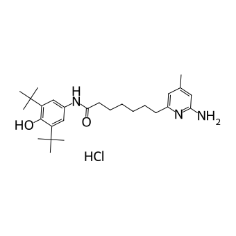 Cc1cc(N)nc(CCCCCCC(=O)Nc2cc(C(C)(C)C)c(O)c(C(C)(C)C)c2)c1.Cl